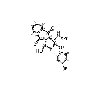 CC(C)Nc1c(Oc2ccc(C(C)C)cc2)cc(O)c2c1C(=O)c1ccccc1C2=O